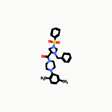 Cc1ccc(C)c(N2CCN(C(=O)C3CN(S(=O)(=O)c4ccccc4)CN3Cc3ccccc3)CC2)c1